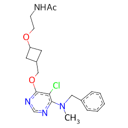 CC(=O)NCCOC1CC(COc2ncnc(N(C)Cc3ccccc3)c2Cl)C1